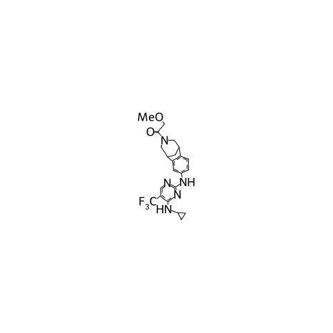 COCC(=O)N1CC2CC(C1)c1cc(Nc3ncc(C(F)(F)F)c(NC4CC4)n3)ccc12